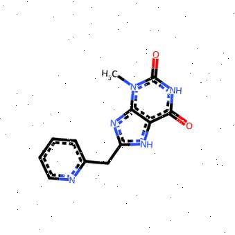 Cn1c(=O)[nH]c(=O)c2[nH]c(Cc3ccccn3)nc21